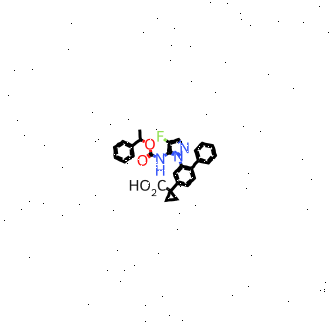 CC(OC(=O)Nc1c(F)cnn1-c1cc(C2(C(=O)O)CC2)ccc1-c1ccccc1)c1ccccc1